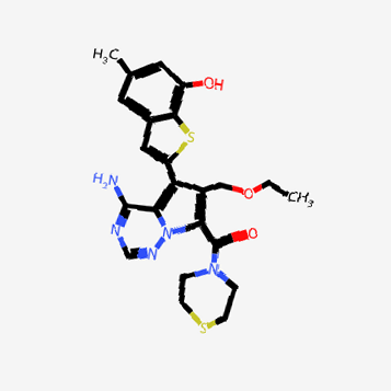 CCOCc1c(-c2cc3cc(C)cc(O)c3s2)c2c(N)ncnn2c1C(=O)N1CCSCC1